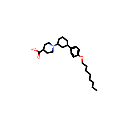 CCCCCCCCOc1ccc(C2CCCC(N3CCC(C(=O)O)CC3)C2)cc1